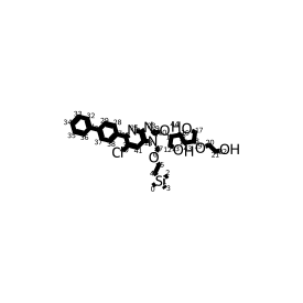 C[Si](C)(C)CCOCn1c(O[C@@H]2CO[C@H]3[C@H]2OC[C@H]3OCCO)nc2nc(-c3ccc(-c4ccccc4)cc3)c(Cl)cc21